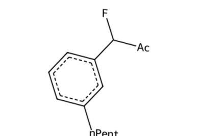 CCCCCc1cccc(C(F)C(C)=O)c1